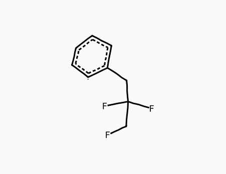 FCC(F)(F)Cc1[c]cccc1